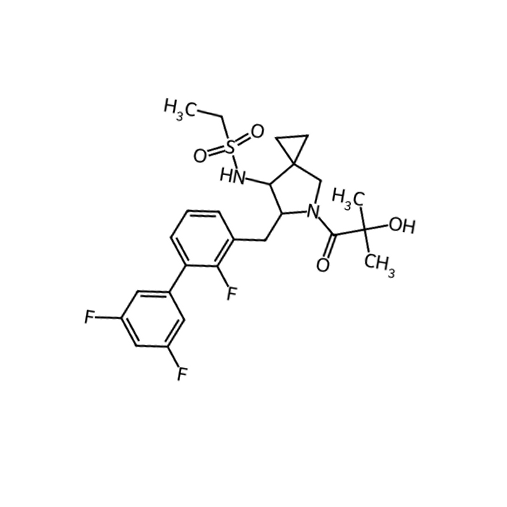 CCS(=O)(=O)NC1C(Cc2cccc(-c3cc(F)cc(F)c3)c2F)N(C(=O)C(C)(C)O)CC12CC2